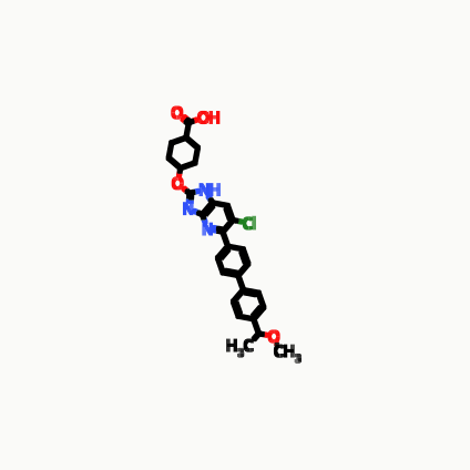 COC(C)c1ccc(-c2ccc(-c3nc4nc(OC5CCC(C(=O)O)CC5)[nH]c4cc3Cl)cc2)cc1